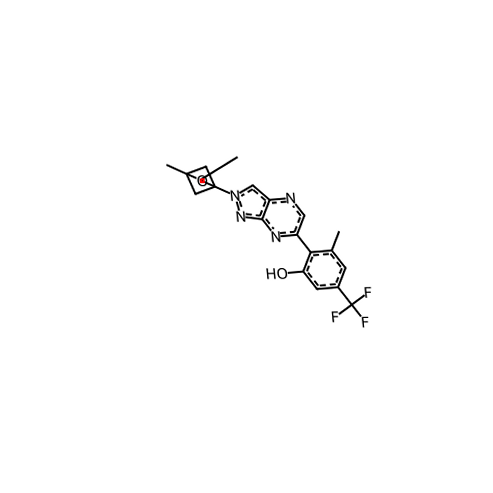 Cc1cc(C(F)(F)F)cc(O)c1-c1cnc2cn(C34CC(C)(C3)OC4C)nc2n1